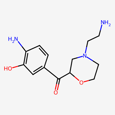 NCCN1CCOC(C(=O)c2ccc(N)c(O)c2)C1